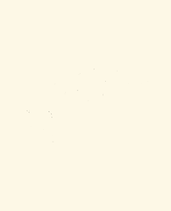 CC(C)Oc1ccc(-c2ccc3ncc(I)n3c2)cc1